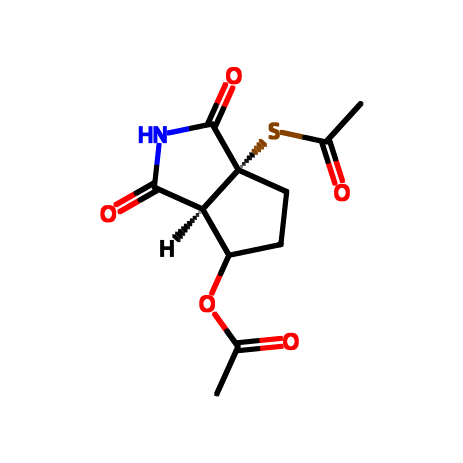 CC(=O)OC1CC[C@]2(SC(C)=O)C(=O)NC(=O)[C@H]12